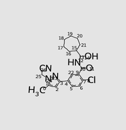 Cc1cc(-c2ccc(Cl)c(C(=O)NC(O)C3CCCCCC3)c2)nn1CC#N